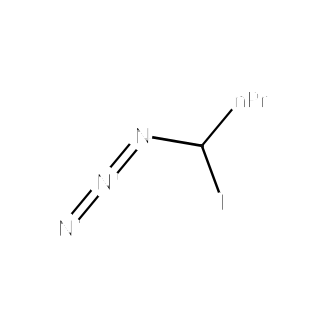 CCCC(I)N=[N+]=[N-]